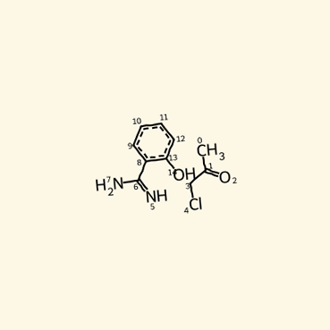 CC(=O)CCl.N=C(N)c1ccccc1O